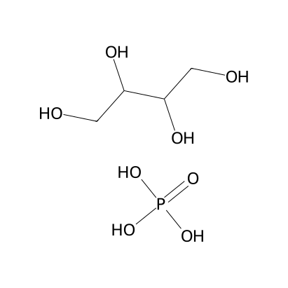 O=P(O)(O)O.OCC(O)C(O)CO